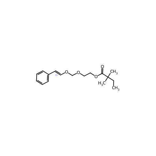 CCC(C)(C)C(=O)OCCOCO/C=C/c1ccccc1